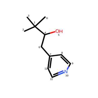 CC(C)(C)C(O)Cc1ccncc1